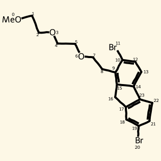 COCCOCCOCCc1c(Br)ccc2c1Cc1cc(Br)ccc1-2